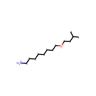 CC(C)CCOCCCCCCCCN